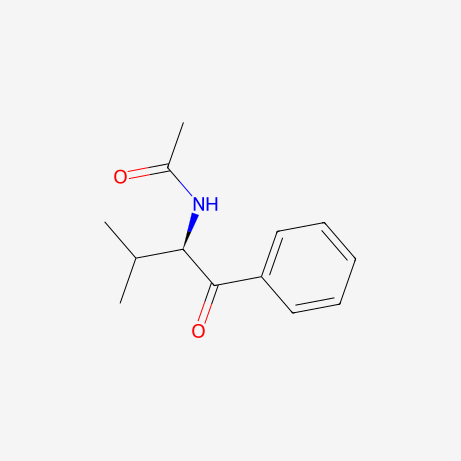 CC(=O)N[C@@H](C(=O)c1ccccc1)C(C)C